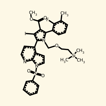 COC(=O)c1c(I)c(-c2ccnc3c2ccn3S(=O)(=O)c2ccccc2)n(COCC[Si](C)(C)C)c1-c1cccc(C)c1F